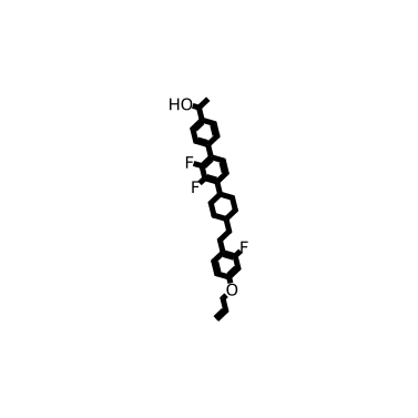 C=CCOc1ccc(CCC2CCC(c3ccc(-c4ccc(C(C)O)cc4)c(F)c3F)CC2)c(F)c1